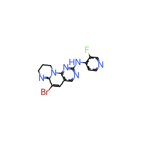 Fc1cnccc1Nc1ncc2c(n1)N1CCCN=C1C(Br)=C2